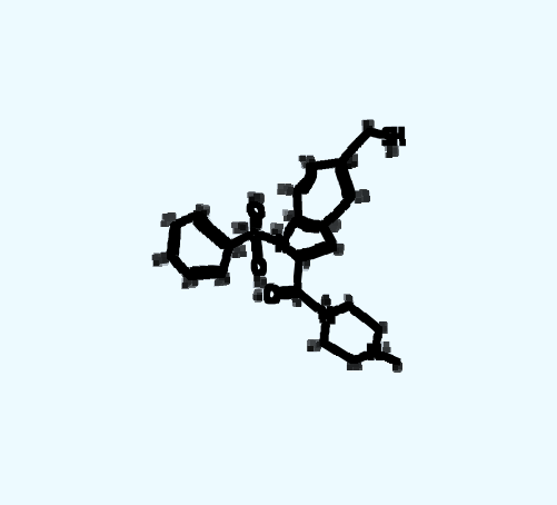 CN1CCN(C(=O)c2cc3cc(CS)ccc3n2S(=O)(=O)c2ccccc2)CC1